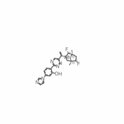 C=C(c1cnc(-c2ccc(-n3ccnc3)cc2O)nn1)[C@@H]1C[C@]2(C)N[C@@](C)(C[C@H]2F)[C@H]1F